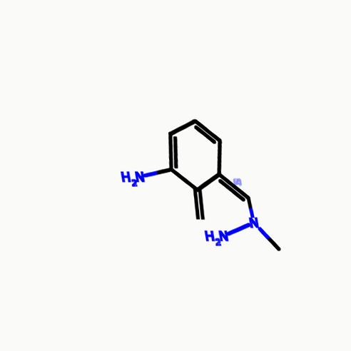 C=c1c(N)ccc/c1=C/N(C)N